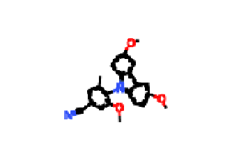 COc1ccc2c(c1)c1cc(OC)ccc1n2-c1c(C)cc(C#N)cc1OC